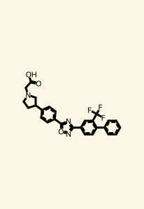 O=C(O)CN1CCC(c2ccc(-c3nc(-c4ccc(-c5ccccc5)c(C(F)(F)F)c4)no3)cc2)C1